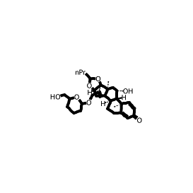 C=C(COC1CCCC(CO)O1)[C@@]12OC(CCC)O[C@H]1CC1[C@@H]3CCC4=CC(=O)C=C[C@]4(C)[C@H]3[C@@H](O)C[C@@]12C